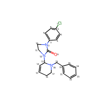 O=C1N(c2ccc(Cl)cc2)CCN1C1C=CCCN1Cc1ccccc1